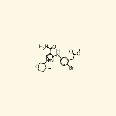 COC(=O)Cc1cc(Nc2nn(C3COCC[C@@H]3C)cc2C(N)=O)ccc1Br